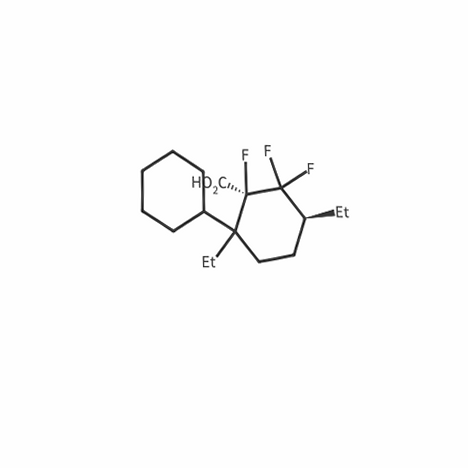 CC[C@H]1CCC(CC)(C2CCCCC2)[C@](F)(C(=O)O)C1(F)F